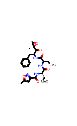 COC[C@H](NC(=O)c1cc(C)on1)C(=O)N[C@H](CSC)C(=O)N[C@@H](Cc1ccccc1)C(=O)[C@@]1(C)CO1